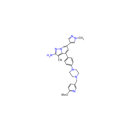 COc1ccc(CN2CCN(c3ccc(-c4cc(-c5cnn(C)c5)cn5nc(N)c(C#N)c45)cc3)CC2)cn1